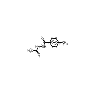 CC(=O)NNC(=O)C12CCC(C)(CC1)CC2